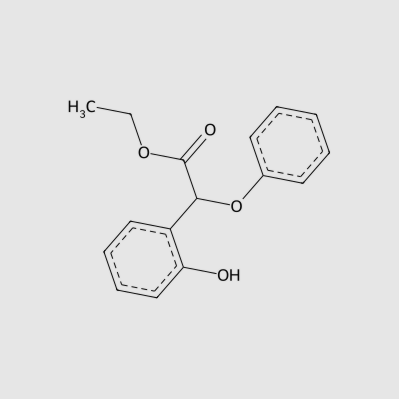 CCOC(=O)C(Oc1ccccc1)c1ccccc1O